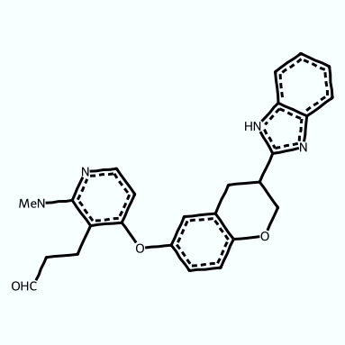 CNc1nccc(Oc2ccc3c(c2)CC(c2nc4ccccc4[nH]2)CO3)c1CCC=O